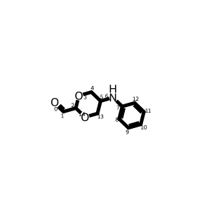 O=CC1OCC(Nc2ccccc2)CO1